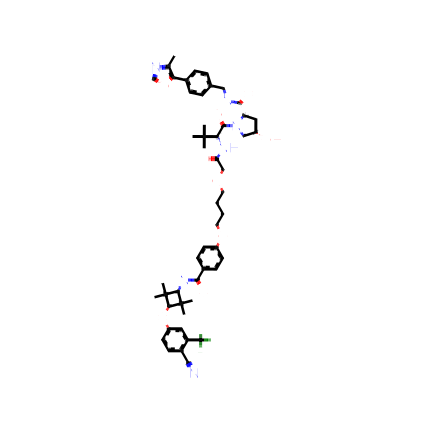 Cc1ncoc1-c1ccc(CNC(=O)[C@@H]2C[C@@H](O)CN2C(=O)[C@@H](NC(=O)COCCCCOc2ccc(C(=O)NC3C(C)(C)C(Oc4ccc(C#N)c(C(F)(F)F)c4)C3(C)C)cc2)C(C)(C)C)cc1